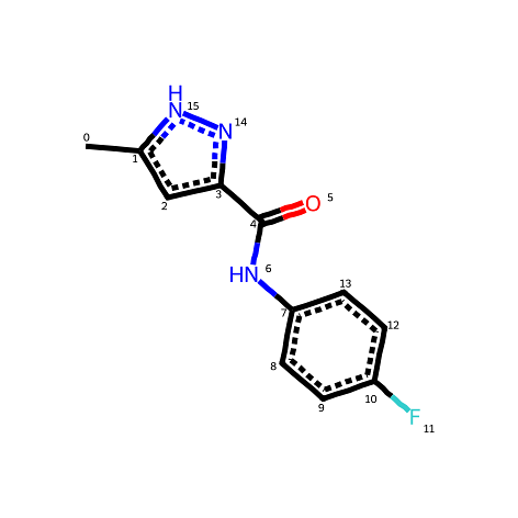 Cc1cc(C(=O)Nc2ccc(F)cc2)n[nH]1